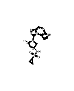 CC[C@@H]1C[C@H](NS(=O)(=O)C2CC2)CN1c1nnc2cnc3[nH]ccc3n12